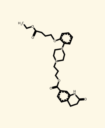 CCOC(=O)CCCOc1ccccc1N1CCN(CCCOC(=O)c2ccc3c(c2)NC(=O)CC3)CC1